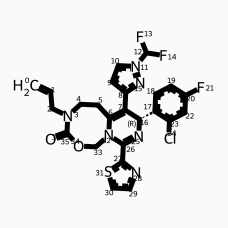 C=CCN1CCC2=C(c3ccn(C(F)F)n3)[C@H](c3ccc(F)cc3Cl)N=C(c3nccs3)N2COC1=O